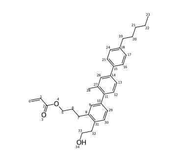 C=CC(=O)OCCCc1cc(-c2ccc(-c3ccc(CCCCC)cc3)cc2C)ccc1CCO